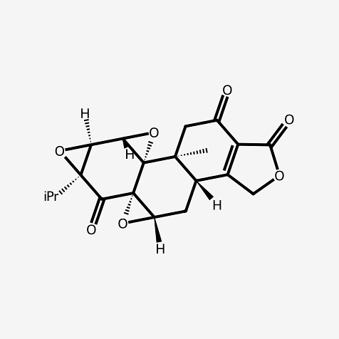 CC(C)[C@]12O[C@H]1[C@@H]1O[C@@]13[C@@]1(C)CC(=O)C4=C(COC4=O)[C@@H]1C[C@@H]1O[C@@]13C2=O